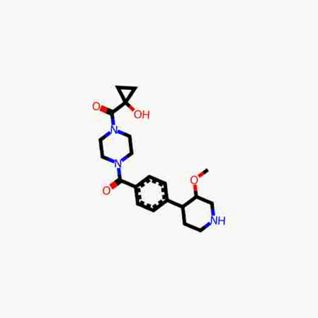 COC1CNCCC1c1ccc(C(=O)N2CCN(C(=O)C3(O)CC3)CC2)cc1